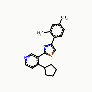 Cc1ccc(-c2csc(-c3cnccc3C3CCCC3)n2)c(C)c1